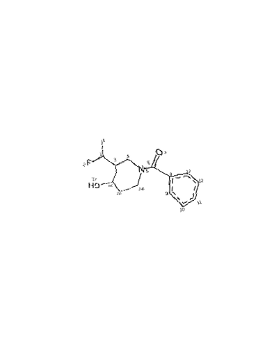 CC(F)C1CN(C(=O)c2ccccc2)CCC1O